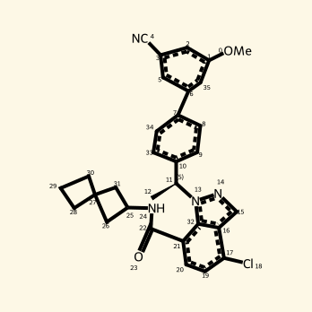 COc1cc(C#N)cc(-c2ccc([C@H](C)n3ncc4c(Cl)ccc(C(=O)NC5CC6(CCC6)C5)c43)cc2)c1